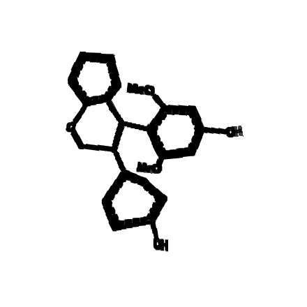 COc1cc(O)cc(OC)c1C1c2ccccc2OCC1c1ccc(O)cc1